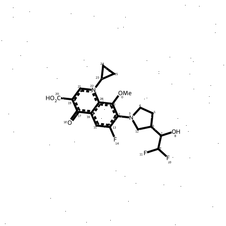 COc1c(N2CCC(C(O)C(F)F)C2)c(F)cc2c(=O)c(C(=O)O)cn(C3CC3)c12